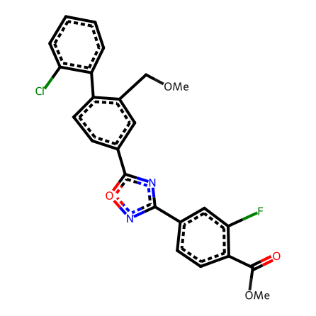 COCc1cc(-c2nc(-c3ccc(C(=O)OC)c(F)c3)no2)ccc1-c1ccccc1Cl